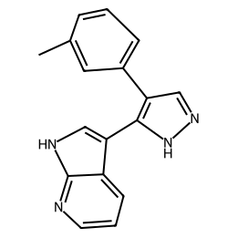 Cc1cccc(-c2cn[nH]c2-c2c[nH]c3ncccc23)c1